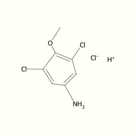 COc1c(Cl)cc(N)cc1Cl.[Cl-].[H+]